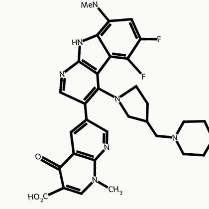 CNc1cc(F)c(F)c2c1[nH]c1ncc(-c3cnc4c(c3)c(=O)c(C(=O)O)cn4C)c(N3CCC(CN4CCOCC4)C3)c12